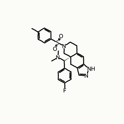 Cc1ccc(S(=O)(=O)N2CCC3=Cc4[nH]ncc4C[C@@]3(C(c3ccc(F)cc3)N(C)C)C2)cc1